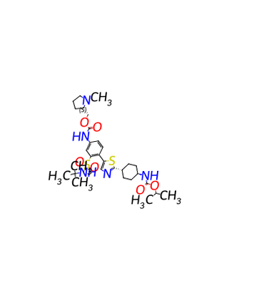 CC(C)OC(=O)N[C@H]1CC[C@H](c2ncc(-c3ccc(NC(=O)OC[C@@H]4CCCN4C)cc3S(=O)(=O)NC(C)(C)C)s2)CC1